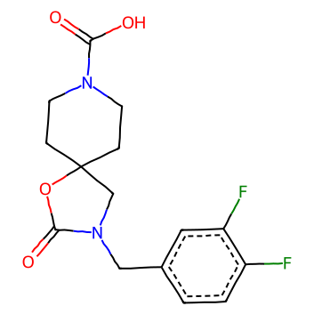 O=C(O)N1CCC2(CC1)CN(Cc1ccc(F)c(F)c1)C(=O)O2